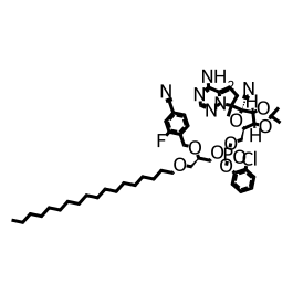 CCCCCCCCCCCCCCCCCCOC[C@H](COP(=O)(OC[C@H]1O[C@@](C#N)(C2(C)CC=C3C(N)=NC=NN32)[C@@H]2OC(C)(C)O[C@@H]21)Oc1ccccc1Cl)OCc1ccc(C#N)cc1F